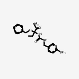 CCC(NC(=O)NCc1ccc(N)nc1)(OCc1ccccc1)C(N)=O